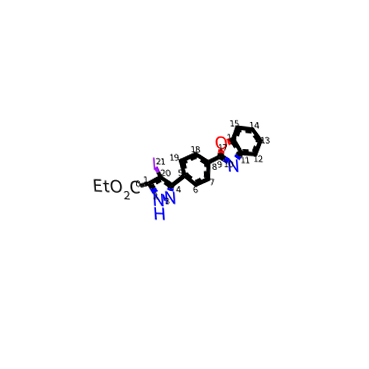 CCOC(=O)c1[nH]nc(-c2ccc(-c3nc4ccccc4o3)cc2)c1I